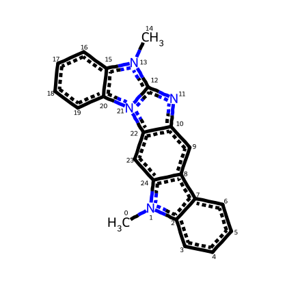 Cn1c2ccccc2c2cc3nc4n(C)c5ccccc5n4c3cc21